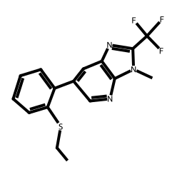 CCSc1ccccc1-c1cnc2c(c1)nc(C(F)(F)F)n2C